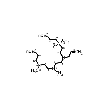 C=CCN(CCN(C)CCN(C)CCCCCCCCCCCC)CC[N+](C)(C)CCCCCCCCCCCC